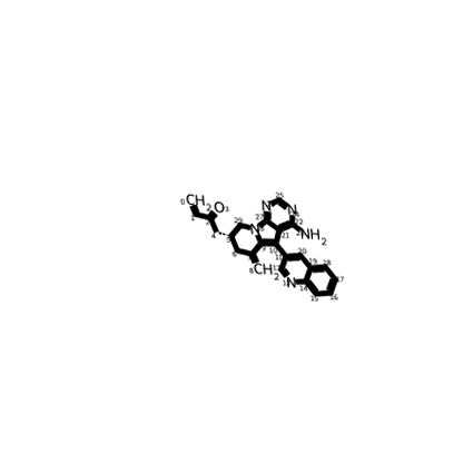 C=CC(=O)C[C@H]1CC(=C)c2c(-c3cnc4ccccc4c3)c3c(N)ncnc3n2C1